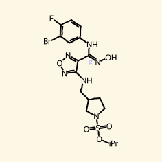 CC(C)OS(=O)(=O)N1CCC(CNc2nonc2/C(=N/O)Nc2ccc(F)c(Br)c2)C1